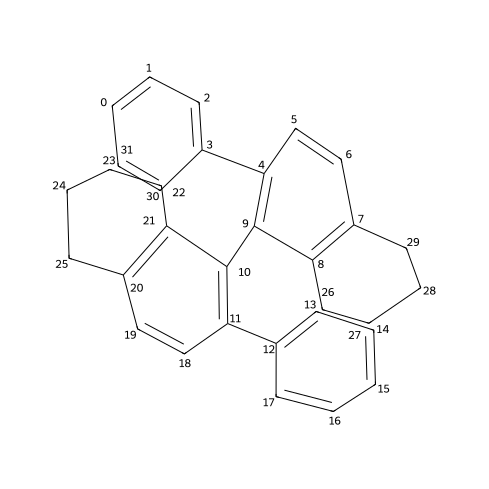 c1ccc(-c2ccc3c(c2-c2c(-c4ccccc4)ccc4c2CCCC4)CCCC3)cc1